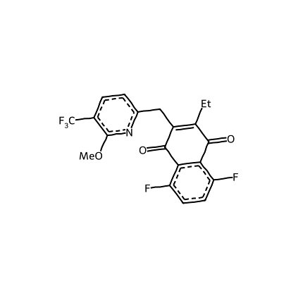 CCC1=C(Cc2ccc(C(F)(F)F)c(OC)n2)C(=O)c2c(F)ccc(F)c2C1=O